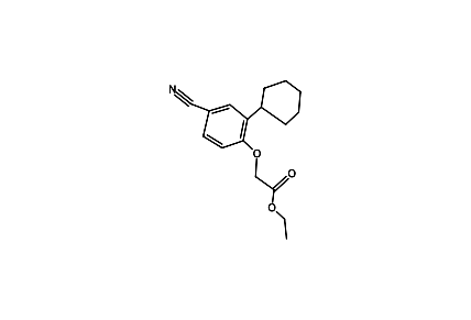 CCOC(=O)COc1ccc(C#N)cc1C1CCCCC1